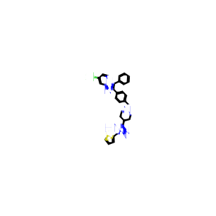 Clc1ccn2c(-c3ccccc3)c(-c3ccc(CN4CCC(c5nnc(-c6cccs6)[nH]5)CC4)cc3)nc2c1